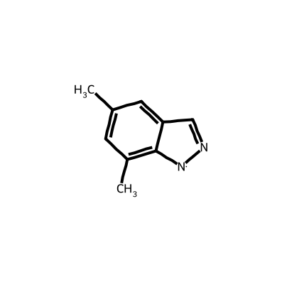 Cc1cc(C)c2c(c1)C=N[N]2